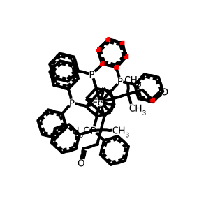 CC(C)(CC=O)[C]12[CH]3[C]4(P(c5ccccc5)c5ccccc5)[C]5(P(c6ccccc6)c6ccccc6)[CH]1[Fe]32451678[CH]2[C]1(C(C)(C)CC=O)[CH]6[C]7(P(c1ccccc1)c1ccccc1)[C]28P(c1ccccc1)c1ccccc1